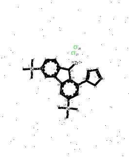 C[Si](C)(C)c1ccc2c(c1)-c1cc([Si](C)(C)C)cc(C3=CC=CC3)c1[CH]2[Zr+2].[Cl-].[Cl-]